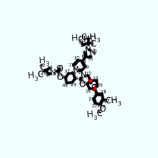 CCC(C)(CC)n1cc(-c2ccnc(N(CC34CCC(c5ccc(OC)c(C)c5)(CC3)CC4)C(=O)[C@H]3CC[C@H](OC(=O)N4CC(C)(C)C4)CC3)c2)cn1